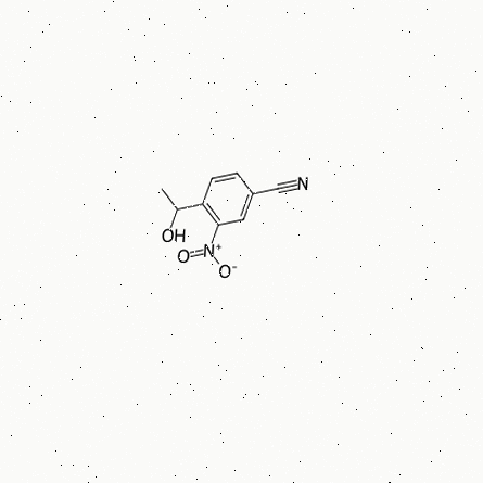 CC(O)c1ccc(C#N)cc1[N+](=O)[O-]